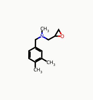 Cc1ccc(CN(C)CC2CO2)cc1C